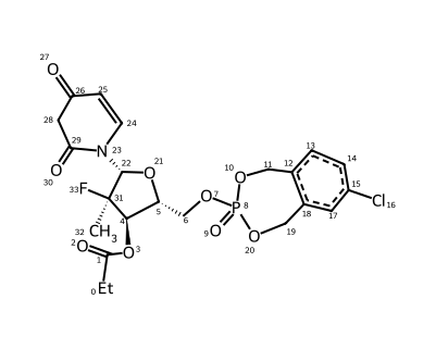 CCC(=O)O[C@@H]1[C@@H](COP2(=O)OCc3ccc(Cl)cc3CO2)O[C@@H](N2C=CC(=O)CC2=O)[C@]1(C)F